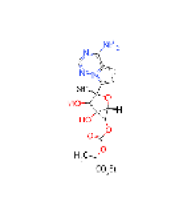 CCOC(=O)[C@H](C)OC(=O)OC1[C@H]2O[C@@](C#N)(c3ccc4c(N)ncnn34)[C@H](O)[C@@]12O